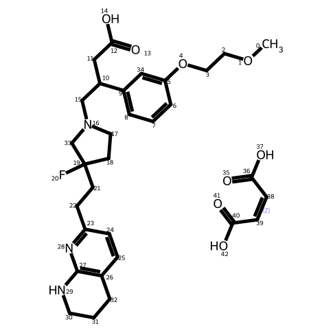 COCCOc1cccc(C(CC(=O)O)CN2CCC(F)(CCc3ccc4c(n3)NCCC4)C2)c1.O=C(O)/C=C\C(=O)O